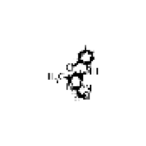 Cc1cc(Nc2ccccc2Cl)n2nncc2n1